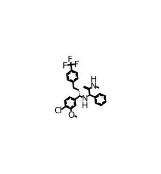 C=C(NC)[C@H](N[C@@H](CCc1ccc(C(F)(F)F)cc1)c1ccc(Cl)c(OC)c1)c1ccccc1